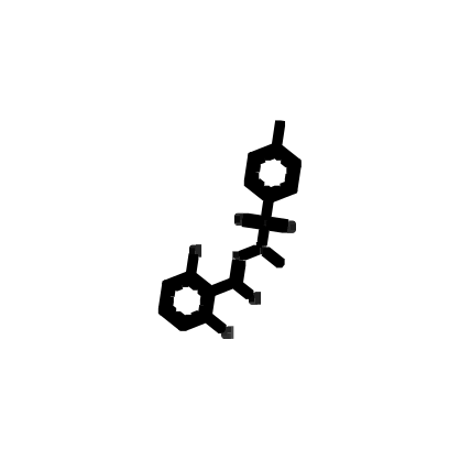 Cc1ccc(S(=O)(=O)N(C)N=C(Cl)c2c(Cl)cccc2Cl)cc1